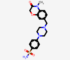 CN1C(=O)COc2cc(CN3CCN(c4ccc(S(N)(=O)=O)cc4)CC3)ccc21